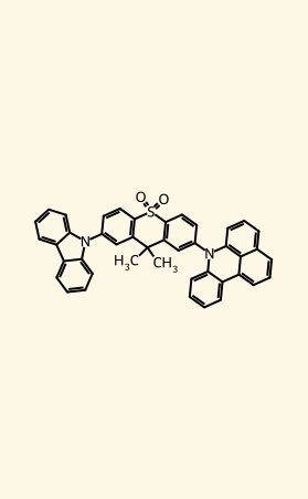 CC1(C)c2cc(N3c4ccccc4-c4cccc5cccc3c45)ccc2S(=O)(=O)c2ccc(-n3c4ccccc4c4ccccc43)cc21